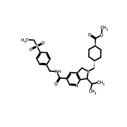 CCS(=O)(=O)c1ccc(CNC(=O)c2cnc3c(c2)CN(C[C@H]2CC[C@H](C(=O)OC)CC2)C3C(C)C)cc1